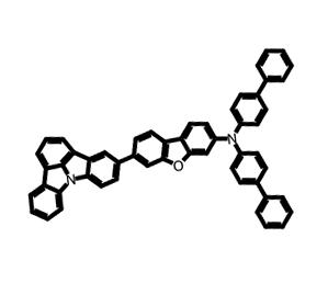 c1ccc(-c2ccc(N(c3ccc(-c4ccccc4)cc3)c3ccc4c(c3)oc3cc(-c5ccc6c(c5)c5cccc7c8ccccc8n6c75)ccc34)cc2)cc1